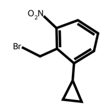 O=[N+]([O-])c1cccc(C2CC2)c1CBr